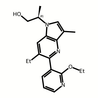 CCOc1ncccc1-c1nc2c(C)cn([C@H](C)CO)c2cc1CC